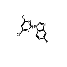 Fc1ccc2c(c1)N=C[SH]2c1nc(Cl)cc(Cl)n1